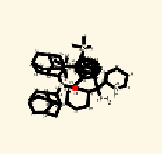 C[Si](C)(C)[C]12[CH]3[C]4(C(P)(C5CCCCN5)C5CCCCN5)[C]5(CP(C6C7CC8CC(C7)CC6C8)C6C7CC8CC(C7)CC6C8)[C]1([Si](C)(C)C)[Fe]35421678[CH]2[CH]1[CH]6[CH]7[CH]28